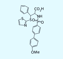 COc1ccc(-c2ccc(S(=O)(=O)NC(C(=O)O)C(Sc3nccs3)c3ccccc3)cc2)cc1